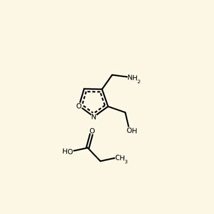 CCC(=O)O.NCc1conc1CO